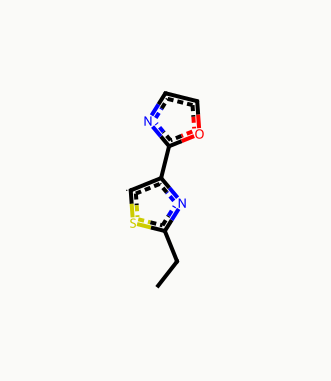 CCc1nc(-c2ncco2)[c]s1